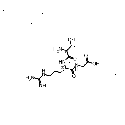 N=C(N)NCCC[C@H](NC(=O)[C@@H](N)CO)C(=O)NCC(=O)O